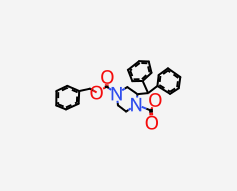 O=C(OCc1ccccc1)N1CCN2C(=O)OC(c3ccccc3)(c3ccccc3)C2C1